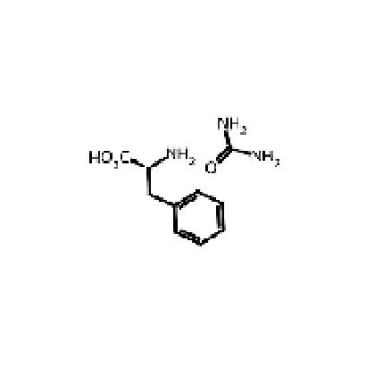 NC(N)=O.N[C@@H](Cc1ccccc1)C(=O)O